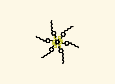 CCCCCCC1CCC(CSc2c(SCC3CCC(CCCCCC)CC3)c(SCC3CCC(CCCCCC)CC3)c(SCC3CCC(CCCCCC)CC3)c(SCC3CCC(CCCCCC)CC3)c2SCC2CCC(CCCCCC)CC2)CC1